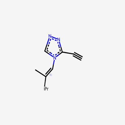 C#Cc1nncn1/C=C(\C)C(C)C